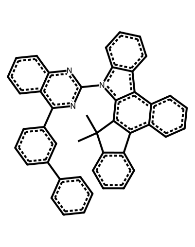 CC1(C)c2ccccc2-c2c1c1c(c3ccccc23)c2ccccc2n1-c1nc(-c2cccc(-c3ccccc3)c2)c2ccccc2n1